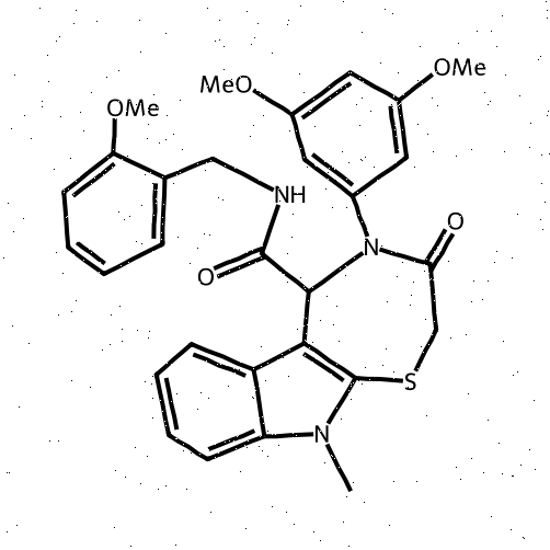 COc1cc(OC)cc(N2C(=O)CSc3c(c4ccccc4n3C)C2C(=O)NCc2ccccc2OC)c1